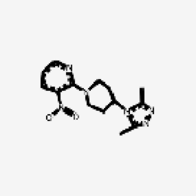 Cc1nnc(C)n1C1CCN(c2ncccc2[N+](=O)[O-])CC1